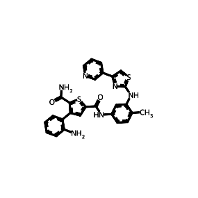 Cc1ccc(NC(=O)c2cc(-c3ccccc3N)c(C(N)=O)s2)cc1Nc1nc(-c2cccnc2)cs1